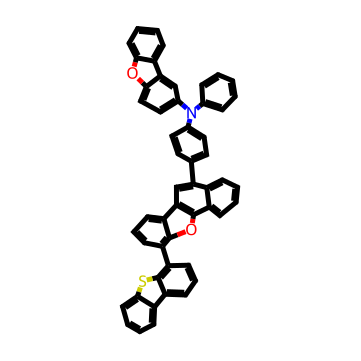 c1ccc(N(c2ccc(-c3cc4c5cccc(-c6cccc7c6sc6ccccc67)c5oc4c4ccccc34)cc2)c2ccc3oc4ccccc4c3c2)cc1